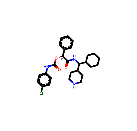 O=C(Nc1ccc(Cl)cc1)O[C@@H](C(=O)NC(C1CCCCC1)C1CCNCC1)c1ccccc1